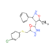 CC1ONC(c2ccccc2)C1C1NNC(CSc2ccc(Cl)cc2)O1